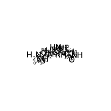 Cc1csc([C@]2(CN)[C@@H]3CN(C4=CNc5c(-c6ccc7c(=O)[nH]ccc7c6F)n[nH]c5N4)C[C@@H]32)n1